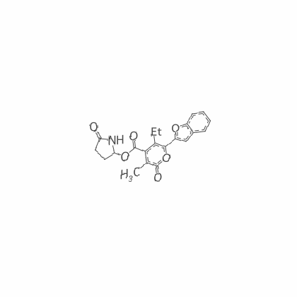 CCc1c(-c2cc3ccccc3o2)oc(=O)c(C)c1C(=O)OC1CCC(=O)N1